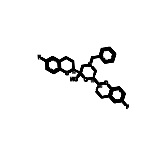 OC1([C@@H]2CCc3cc(F)ccc3O2)CN(Cc2ccccc2)C[C@@H]([C@H]2CCc3cc(F)ccc3O2)O1